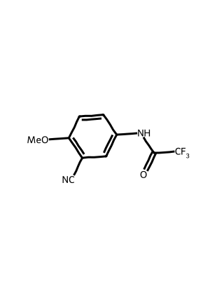 COc1ccc(NC(=O)C(F)(F)F)cc1C#N